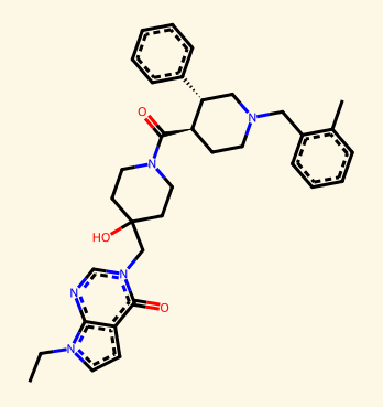 CCn1ccc2c(=O)n(CC3(O)CCN(C(=O)[C@@H]4CCN(Cc5ccccc5C)C[C@H]4c4ccccc4)CC3)cnc21